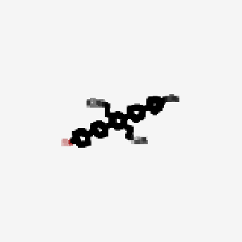 CCCCCCCCCCCCc1cc(-c2ccc(-c3ccc(CCCC)cc3)cc2)c(CCCCCCCCCCCC)cc1-c1ccc(-c2ccc(Br)cc2)cc1